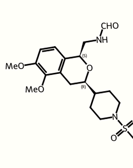 COc1ccc2c(c1OC)C[C@H](C1CCN(S(C)(=O)=O)CC1)O[C@@H]2CNC=O